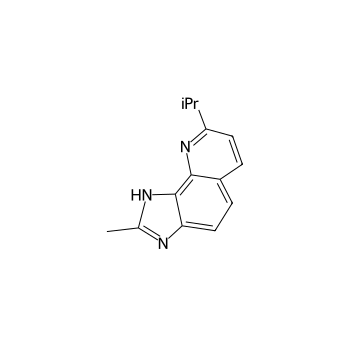 Cc1nc2ccc3ccc(C(C)C)nc3c2[nH]1